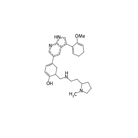 COC1=CCCC=C1c1c[nH]c2ncc(C3=CC=C(O)C(CNCCC4CCCN4C)C3)cc12